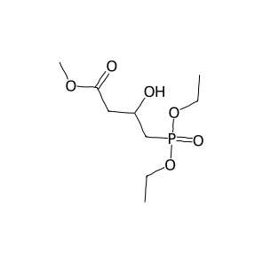 CCOP(=O)(CC(O)CC(=O)OC)OCC